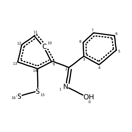 O/N=C(\c1ccccc1)c1ccccc1S[S]